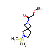 C[SH](C)N1CCC2(CN(C(=O)COC(C)(C)C)C2)C1